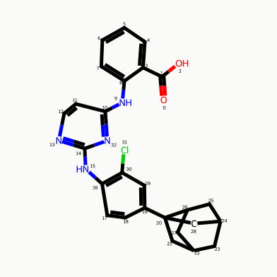 O=C(O)c1ccccc1Nc1ccnc(Nc2ccc(C34CC5CC(CC3C5)C4)cc2Cl)n1